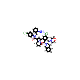 Nc1ccccc1CN(C(=O)c1cc(-c2cc(Cl)ccc2C(=O)N2Cc3ccccc3C[C@H]2CN2CCOCC2)n2c1CCCC2)c1ccc(Cl)cc1